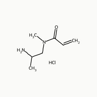 C=CC(=O)N(C)CC(C)N.Cl